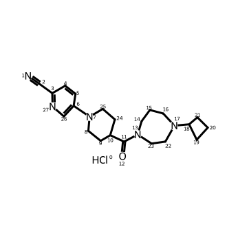 Cl.N#Cc1ccc(N2CCC(C(=O)N3CCCN(C4CCC4)CC3)CC2)cn1